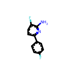 Nc1nc(-c2ccc(F)cc2)ccc1F